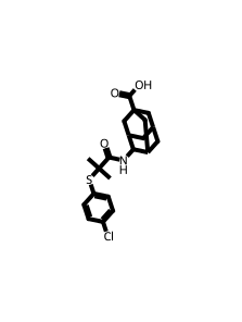 CC(C)(Sc1ccc(Cl)cc1)C(=O)NC1C2CC3CC1CC(C(=O)O)(C3)C2